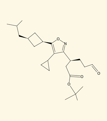 CC(C)C[C@H]1C[C@@H](c2onc([C@@H](CCC=O)CC(=O)OC(C)(C)C)c2C2CC2)C1